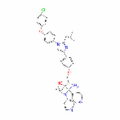 CCN(c1ccncc1)C(N)(c1ccncc1)C(O)(CC)CCOc1ccc(-c2cn(-c3ccc(Oc4ccc(Cl)cc4)cc3)c(CC(C)C)n2)cc1